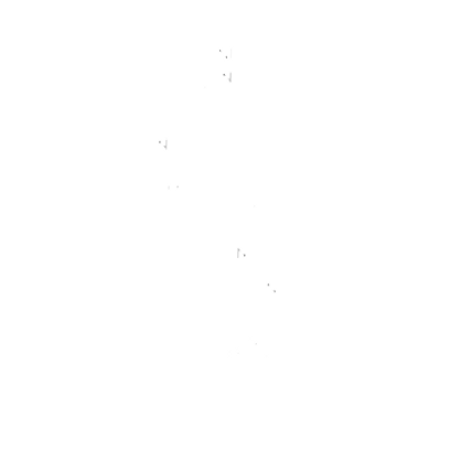 O=S1(=O)CCN(Cc2ccc3cc(Oc4ccc(-c5cc[nH]n5)cn4)ccc3n2)CC1